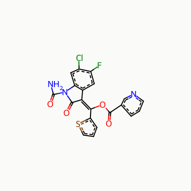 NC(=O)N1C(=O)C(=C(OC(=O)c2cccnc2)c2cccs2)c2cc(F)c(Cl)cc21